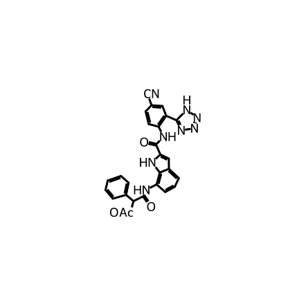 CC(=O)OC(C(=O)Nc1cccc2cc(C(=O)Nc3ccc(C#N)cc3-c3nnn[nH]3)[nH]c12)c1ccccc1